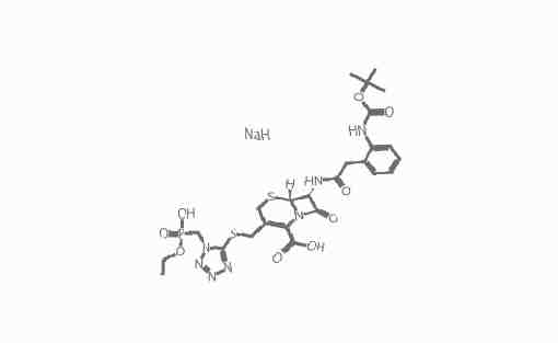 CCOP(=O)(O)Cn1nnnc1SCC1=C(C(=O)O)N2C(=O)[C@@H](NC(=O)Cc3ccccc3NC(=O)OC(C)(C)C)[C@H]2SC1.[NaH]